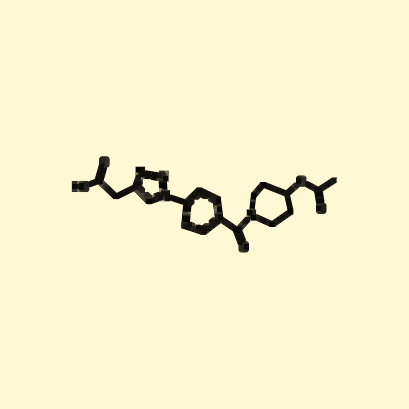 CC(=O)OC1CCN(C(=O)c2ccc(-n3cc(CC(=O)O)nn3)cc2)CC1